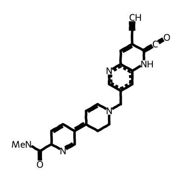 C#CC1=Cc2ncc(CN3C=CC(=C4C=CC(C(=O)NC)N=C4)CC3)cc2NC1=C=O